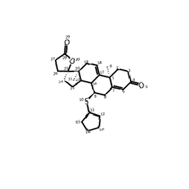 C[C@]12CCC(=O)C=C1C[C@@H](SC1CCCC1)C1C2=CC[C@@]2(C)C1CC[C@@]21CCC(=O)O1